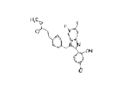 COC(=O)CCc1ccc(Cn2c(-c3ccc(Cl)cc3O)nc3cc(F)c(F)cc32)cc1